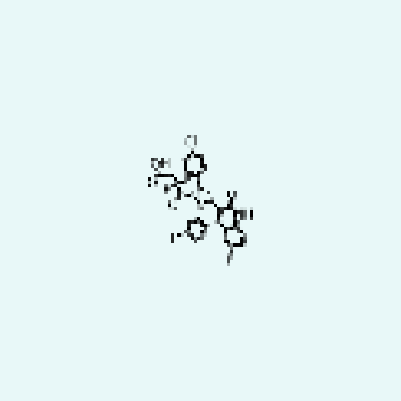 O=C(O)CC(F)(F)C(=O)N1N=C(c2c(-c3ccc(F)cc3)c3cc(F)ccc3[nH]c2=O)CC1c1ccc(Cl)cc1